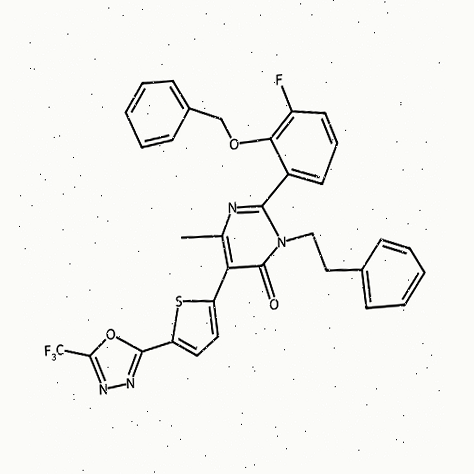 Cc1nc(-c2cccc(F)c2OCc2ccccc2)n(CCc2ccccc2)c(=O)c1-c1ccc(-c2nnc(C(F)(F)F)o2)s1